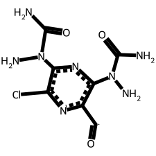 NC(=O)N(N)c1nc(N(N)C(N)=O)c([C]=O)nc1Cl